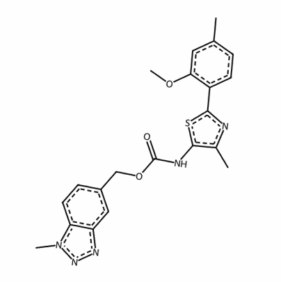 COc1cc(C)ccc1-c1nc(C)c(NC(=O)OCc2ccc3c(c2)nnn3C)s1